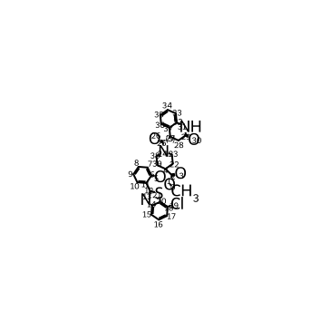 COC(=O)C1(Oc2ccccc2-c2nc3cccc(Cl)c3s2)CCN(C(=O)[C@H]2CC(=O)Nc3ccccc32)CC1